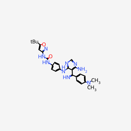 CN(C)c1ccc(C(=N)c2c(N)ncnc2Nc2ccc(NC(=O)Nc3cc(C(C)(C)C)on3)cc2)cc1